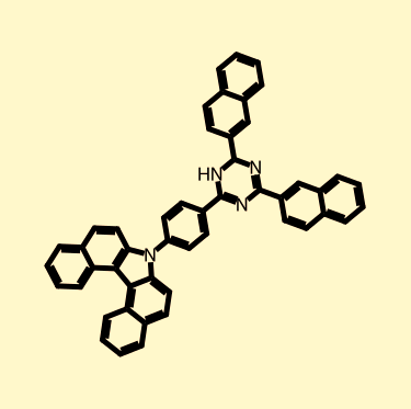 c1ccc2cc(C3=NC(c4ccc5ccccc5c4)NC(c4ccc(-n5c6ccc7ccccc7c6c6c7ccccc7ccc65)cc4)=N3)ccc2c1